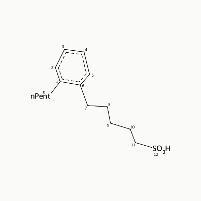 CCCCCc1ccccc1CCCCCS(=O)(=O)O